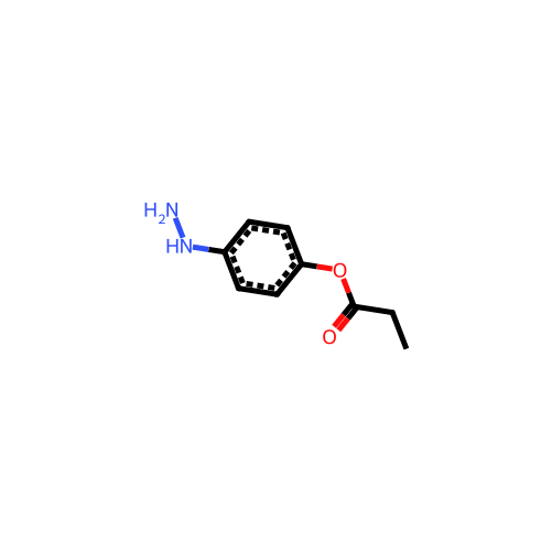 CCC(=O)Oc1ccc(NN)cc1